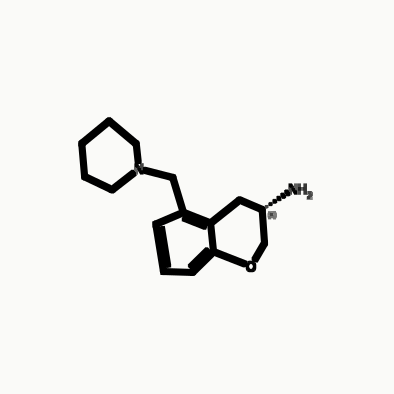 N[C@@H]1COc2cccc(CN3CCCCC3)c2C1